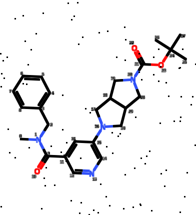 CN(Cc1ccccc1)C(=O)c1cncc(N2CC3CN(C(=O)OC(C)(C)C)CC3C2)c1